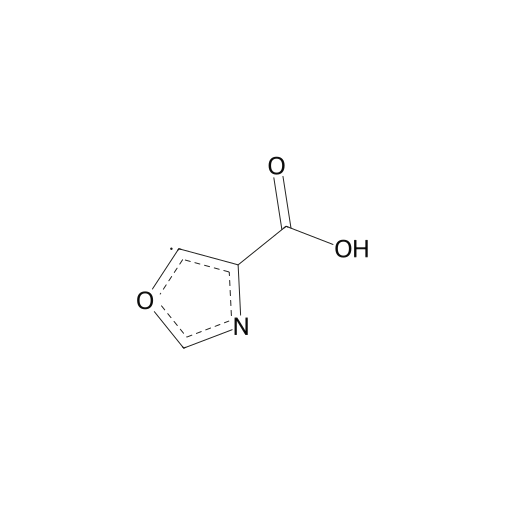 O=C(O)c1[c]ocn1